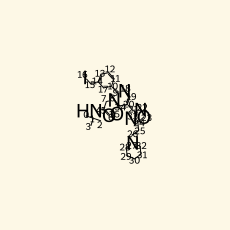 CC(C)(C)NC(=O)Cn1c(C2C=CC=C(CI)C2)ncc(-c2noc(CCN3CCCCC3)n2)c1=O